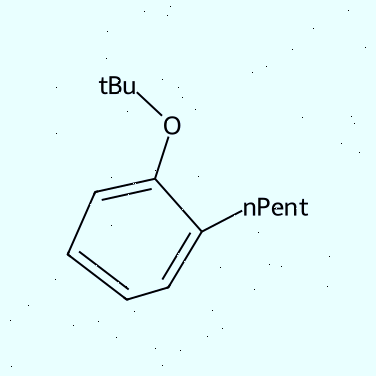 CCCCCc1ccccc1OC(C)(C)C